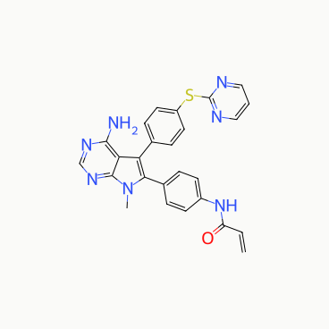 C=CC(=O)Nc1ccc(-c2c(-c3ccc(Sc4ncccn4)cc3)c3c(N)ncnc3n2C)cc1